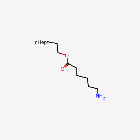 CCCCCCCCCOC(=O)CCCCCN